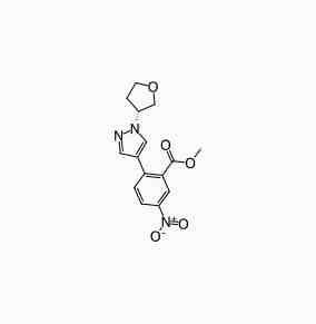 COC(=O)c1cc([N+](=O)[O-])ccc1-c1cnn([C@@H]2CCOC2)c1